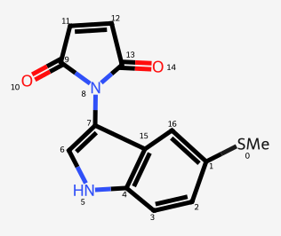 CSc1ccc2[nH]cc(N3C(=O)C=CC3=O)c2c1